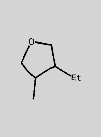 CCC1COCC1C